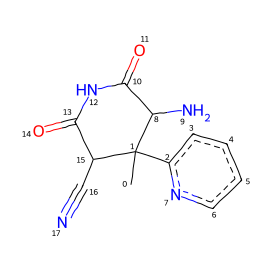 CC1(c2ccccn2)C(N)C(=O)NC(=O)C1C#N